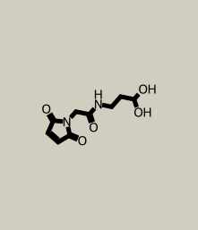 O=C(CN1C(=O)C=CC1=O)NCCC(O)O